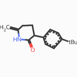 C=C1CCC(c2ccc(C(C)(C)C)cc2)C(=O)N1